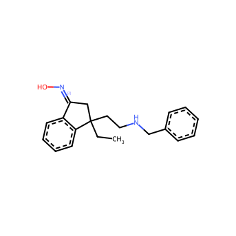 CCC1(CCNCc2ccccc2)C/C(=N/O)c2ccccc21